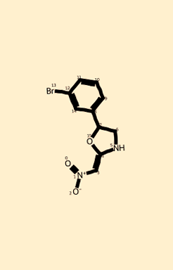 O=[N+]([O-])C=C1NCC(c2cccc(Br)c2)O1